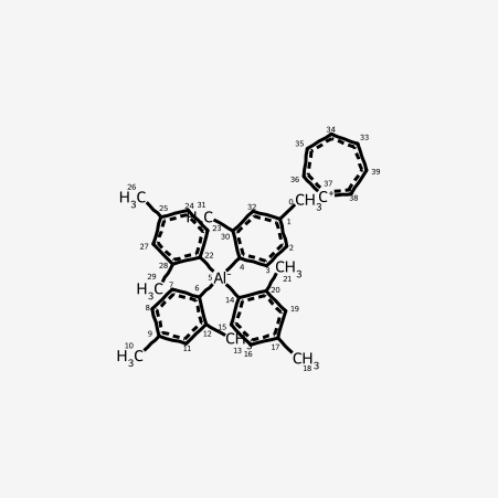 Cc1cc[c]([Al-]([c]2ccc(C)cc2C)([c]2ccc(C)cc2C)[c]2ccc(C)cc2C)c(C)c1.c1ccc[cH+]cc1